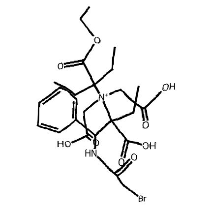 CCOC(=O)C(CC)(CC)[N+](CC(=O)O)(CC(=O)O)C(CC)(C(=O)O)C(NC(=O)CBr)c1ccccc1